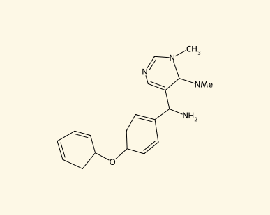 CNC1C(C(N)C2=CCC(OC3C=CC=CC3)C=C2)=CN=CN1C